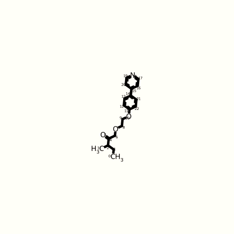 CCC(C)C(=O)COCCOc1ccc(-c2ccncc2)cc1